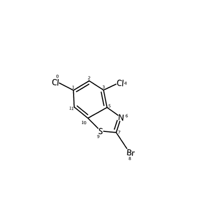 Clc1cc(Cl)c2nc(Br)sc2c1